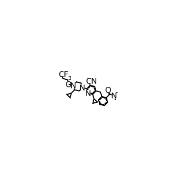 CN(C)C(=O)c1ccccc1Cc1cc(C#N)c(N2CCN(OCCC(F)(F)F)C(C3CC3)C2)nc1C1CC1